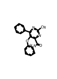 N#Cc1nc(C(N)=O)c(Oc2ccccc2)c(-c2ccccc2)n1